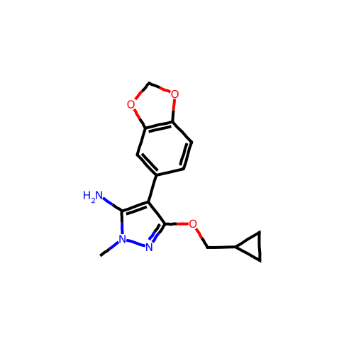 Cn1nc(OCC2CC2)c(-c2ccc3c(c2)OCO3)c1N